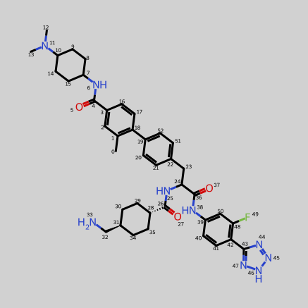 Cc1cc(C(=O)NC2CCC(N(C)C)CC2)ccc1-c1ccc(CC(NC(=O)[C@H]2CC[C@H](CN)CC2)C(=O)Nc2ccc(-c3nn[nH]n3)c(F)c2)cc1